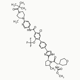 COC(=O)N[C@H](C(=O)N1[C@@H](C)CC[C@H]1c1nc(-c2ccc(-c3cc(Cl)c(C(=O)Nc4ccc(N5CCN(C(=O)C(C)(C)C)C[C@H]5C)nc4)cc3OC(F)(F)F)cc2)c[nH]1)C1CCOCC1